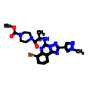 C[C@@H](Nc1nc2c(Br)cccc2c2nc(-c3cnn(C)c3)nn12)C(=O)N1CCN(C(=O)OC(C)(C)C)CC1